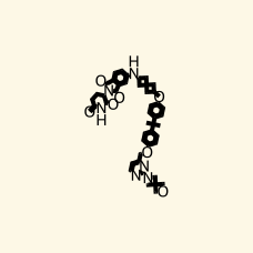 CC(C)(c1ccc(OCc2ccnc(N3CC4(COC4)C3)n2)cc1)c1ccc(OC2CC3(CC(Nc4ccc5c(c4)C(=O)N(C4CCC(=O)NC4=O)C5=O)C3)C2)cc1